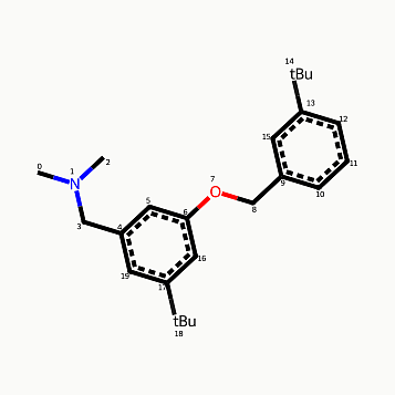 CN(C)Cc1cc(OCc2cccc(C(C)(C)C)c2)cc(C(C)(C)C)c1